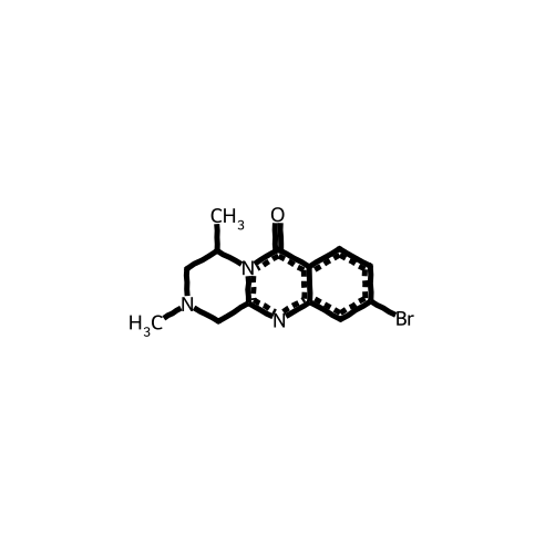 CC1CN(C)Cc2nc3cc(Br)ccc3c(=O)n21